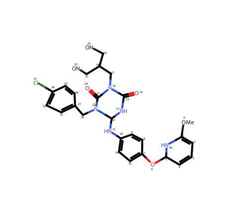 COC1=CC=CC(Oc2ccc(NC3NC(=O)N(CC(CN=O)CN=O)C(=O)N3Cc3ccc(Cl)cc3)cc2)N1